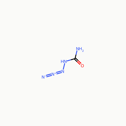 [N-]=[N+]=NNC(N)=O